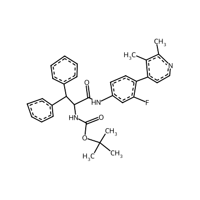 Cc1nccc(-c2ccc(NC(=O)C(NC(=O)OC(C)(C)C)C(c3ccccc3)c3ccccc3)cc2F)c1C